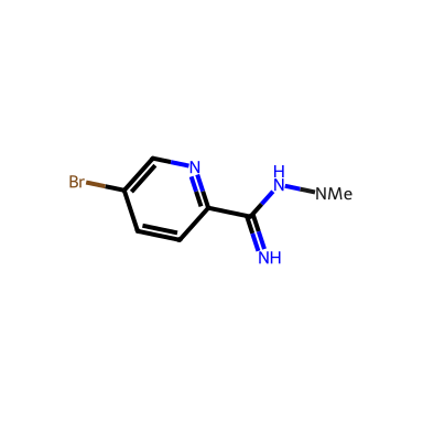 CNNC(=N)c1ccc(Br)cn1